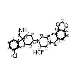 Cl.NCC1(c2cccc(Cl)c2)CCC(N2CCN(Cc3ccc4c(c3)OCO4)CC2)CC1